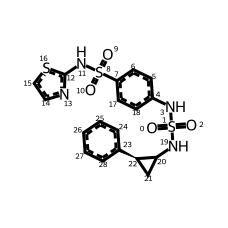 O=S(=O)(Nc1ccc(S(=O)(=O)Nc2nccs2)cc1)NC1C[C@H]1c1ccccc1